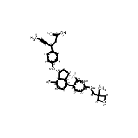 CC#CC(CC(=O)O)c1ccc(O[C@@H]2CCc3c(-c4ccc(OCC5(C)COC5)nc4C)ccc(F)c32)cc1